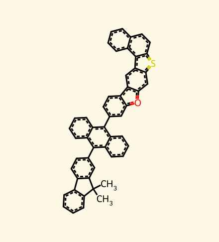 CC1(C)c2ccccc2-c2ccc(-c3c4ccccc4c(-c4ccc5c(c4)oc4cc6sc7ccc8ccccc8c7c6cc45)c4ccccc34)cc21